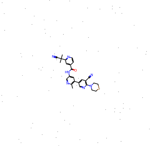 Cc1ncc(NC(=O)c2ccnc(C(C)(C)C#N)c2)cc1-c1cnc(N2CCSCC2)c(C#N)c1